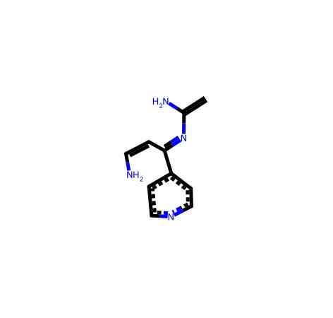 C=C(N)/N=C(\C=C/N)c1ccncc1